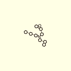 c1ccc(-c2ccc(-c3ccc(N(c4cccc(-c5ccc6oc7ccccc7c6c5)c4)c4cccc(-c5cccc6ccccc56)c4)cc3)cc2)cc1